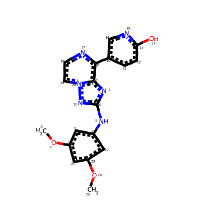 COc1cc(Nc2nc3c(-c4ccc(O)nc4)nccn3n2)cc(OC)c1